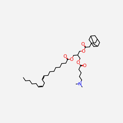 CCCCC/C=C\C/C=C\CCCCCCCC(=O)OCC(COC(=O)CCCCN(C)C)COC(=O)CC12CC3CC(CC(C3)C1)C2